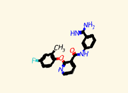 Cc1cc(F)ccc1Oc1ncccc1C(=O)Nc1cccc(C(=N)N)c1